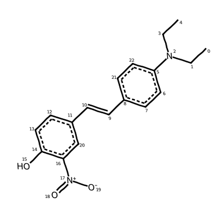 CCN(CC)c1ccc(C=Cc2ccc(O)c([N+](=O)[O-])c2)cc1